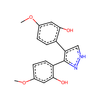 COc1ccc(-c2c[nH]nc2-c2ccc(OC)cc2O)c(O)c1